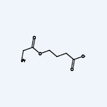 CC(C)CC(=O)OCCCC([O])=O